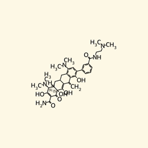 C=C1C2=C(O)[C@]3(O)C(=O)C(C(N)=O)=C(O)[C@@H](N(C)C)[C@@H]3CC2Cc2c(N(C)C)cc(-c3cccc(C(=O)NCCN(C)C)c3)c(O)c21